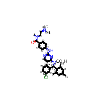 CCN(CC)CCN(C)C(=O)c1ccc(Nc2nccc(N(C(=O)O)C(c3cc(Cl)ccc3C)c3c(C)cc(C)cc3C)n2)cc1